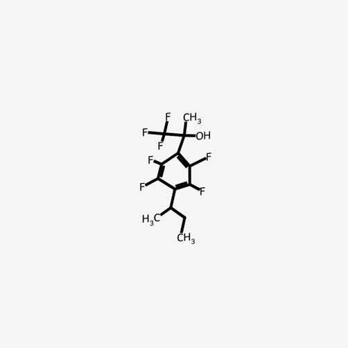 CCC(C)c1c(F)c(F)c(C(C)(O)C(F)(F)F)c(F)c1F